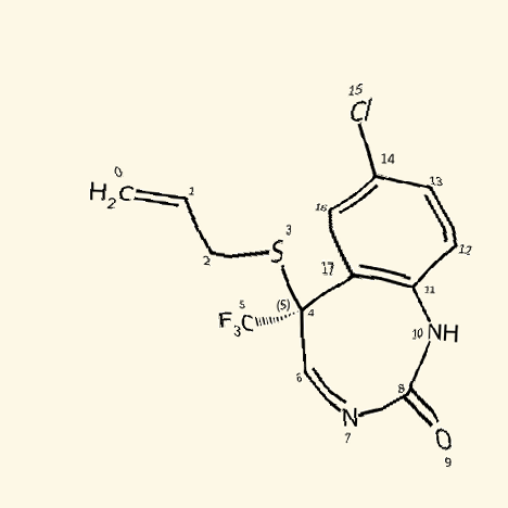 C=CCS[C@]1(C(F)(F)F)C=NC(=O)Nc2ccc(Cl)cc21